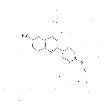 COc1ccc(-c2ccc3c(c2)CCC(C)C3)cc1